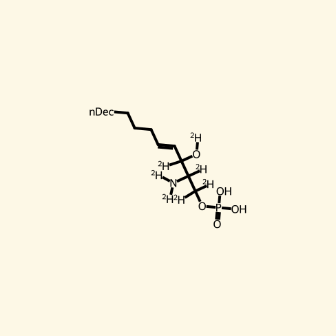 [2H]OC([2H])(C=CCCCCCCCCCCCCC)C([2H])(N([2H])[2H])C([2H])([2H])OP(=O)(O)O